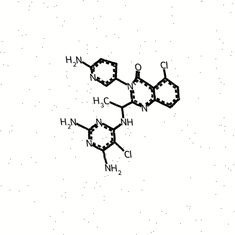 CC(Nc1nc(N)nc(N)c1Cl)c1nc2cccc(Cl)c2c(=O)n1-c1ccc(N)nc1